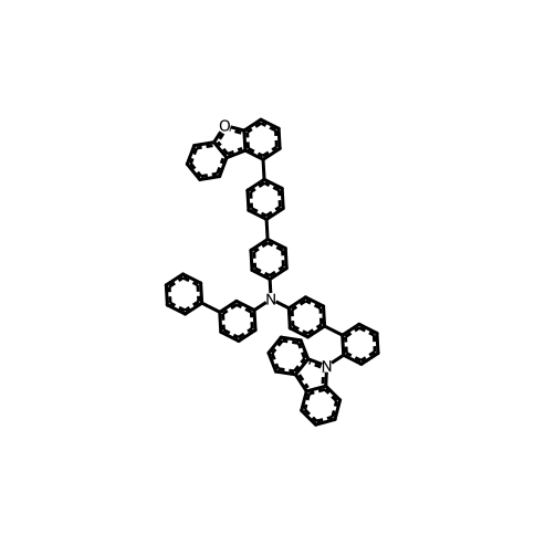 c1ccc(-c2cccc(N(c3ccc(-c4ccc(-c5cccc6oc7ccccc7c56)cc4)cc3)c3ccc(-c4ccccc4-n4c5ccccc5c5ccccc54)cc3)c2)cc1